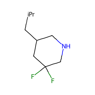 CC(C)CC1CNCC(F)(F)C1